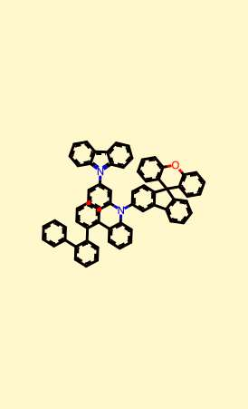 c1ccc(-c2ccccc2-c2ccccc2-c2ccccc2N(c2cccc(-n3c4ccccc4c4ccccc43)c2)c2ccc3c(c2)-c2ccccc2C32c3ccccc3Oc3ccccc32)cc1